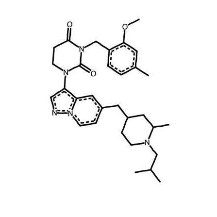 COc1cc(C)ccc1CN1C(=O)CCN(c2cnn3ccc(CC4CCN(CC(C)C)C(C)C4)cc23)C1=O